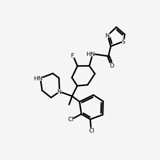 CC(c1cccc(Cl)c1Cl)(C1CCC(NC(=O)c2nccs2)C(F)C1)N1CCNCC1